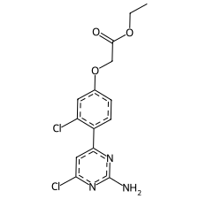 CCOC(=O)COc1ccc(-c2cc(Cl)nc(N)n2)c(Cl)c1